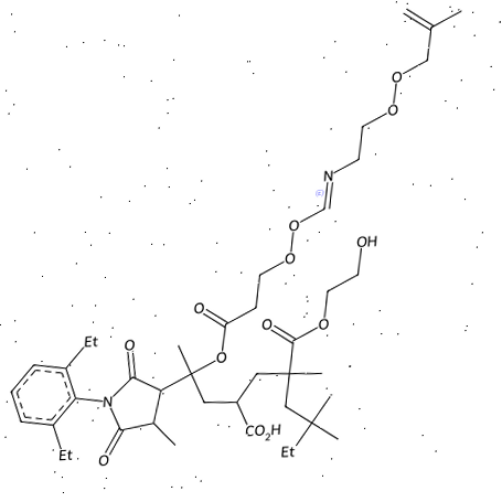 C=C(C)COOCC/N=C/OOCCC(=O)OC(C)(CC(CC(C)(CC(C)(C)CC)C(=O)OCCO)C(=O)O)C1C(=O)N(c2c(CC)cccc2CC)C(=O)C1C